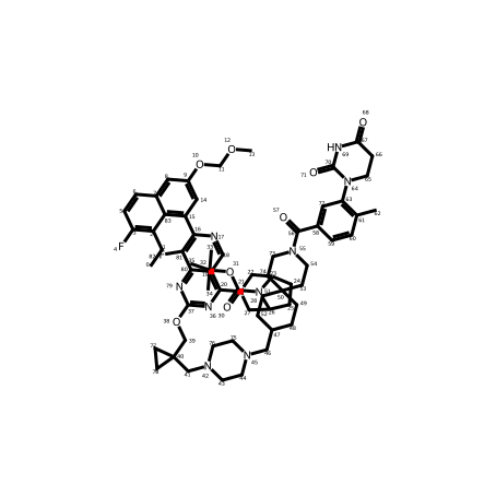 CCc1c(F)ccc2cc(OCOC)cc(-c3ncc4c(N5CC6CCC(C5)N6C(=O)OC(C)(C)C)nc(OCC5(CN6CCN(CC7CCC8(CC7)CCN(C(=O)c7ccc(C)c(N9CCC(=O)NC9=O)c7)CC8)CC6)CC5)nc4c3F)c12